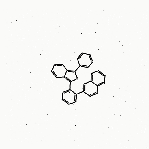 c1ccc(-c2sc(-c3ccccc3-c3ccc4ccccc4c3)c3ccccc23)cc1